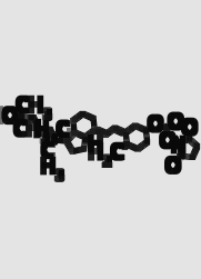 C=C1CC[C@H](OC(=O)ON2C(=O)CCC2=O)C/C1=C/C=C1\CCC[C@]2(C)C([C@H](C)CCCC(C)(C)O)CC[C@@H]12